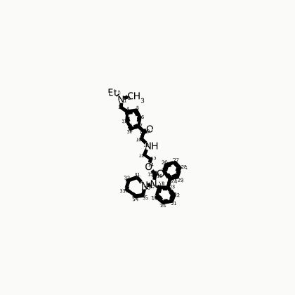 CCN(C)Cc1ccc(C(=O)CNCCOC(=O)N(c2ccccc2-c2ccccc2)N2CC[CH]CC2)cc1